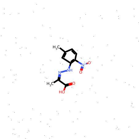 CC(=NNc1cc(C)ccc1[N+](=O)[O-])C(=O)O